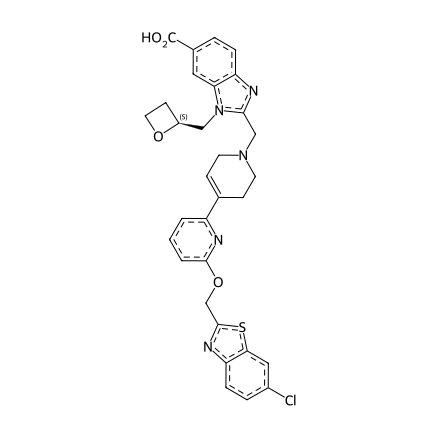 O=C(O)c1ccc2nc(CN3CC=C(c4cccc(OCc5nc6ccc(Cl)cc6s5)n4)CC3)n(C[C@@H]3CCO3)c2c1